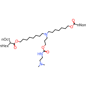 CCCCCCCCCC(=O)OCCCCCCCN(CCCCCCCCOC(=O)C(CCCCCC)CCCCCCCC)CCCOC(=O)NCCN(C)C